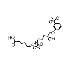 CS(=O)(=O)c1cccc(OCC(O)CCCN(C/C=C\CCCC(=O)O)S(C)(=O)=O)c1